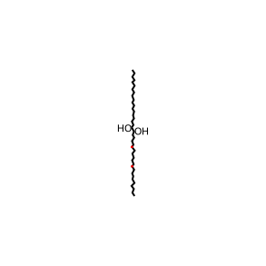 CCCCCCCCCCCCCCCCCCCCC(O)C(O)CCCCCCCCCCCCCCCCCC